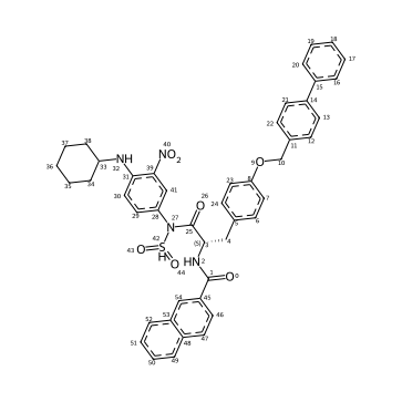 O=C(N[C@@H](Cc1ccc(OCc2ccc(-c3ccccc3)cc2)cc1)C(=O)N(c1ccc(NC2CCCCC2)c([N+](=O)[O-])c1)[SH](=O)=O)c1ccc2ccccc2c1